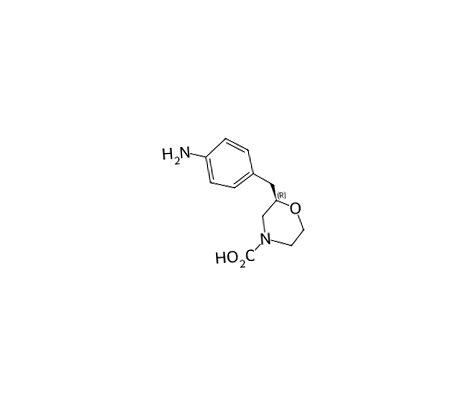 Nc1ccc(C[C@@H]2CN(C(=O)O)CCO2)cc1